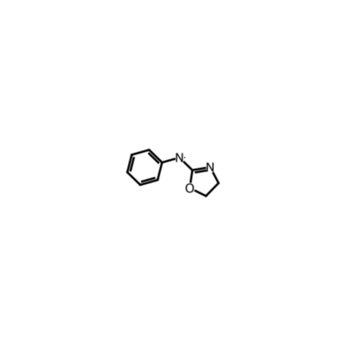 c1ccc([N]C2=NCCO2)cc1